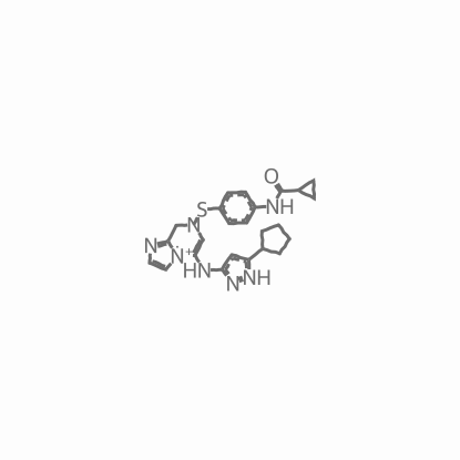 O=C(Nc1ccc(SN2C=C(Nc3cc(C4CCCC4)[nH]n3)[N+]3C=CN=C3C2)cc1)C1CC1